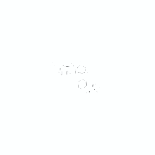 CC(C)(C)NS(=O)(=O)c1cccc(-c2ncc(O)c(N/C(N)=C/C(=N)C3CC3)n2)c1